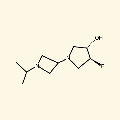 CC(C)N1CC(N2C[C@H](O)[C@@H](F)C2)C1